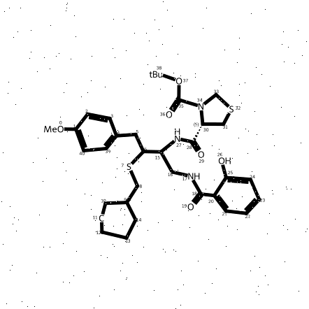 COc1ccc(CC(SCC2CCCCC2)C(CNC(=O)c2ccccc2O)NC(=O)[C@H]2CSCN2C(=O)OC(C)(C)C)cc1